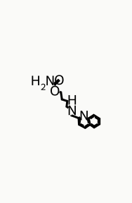 NC(=O)OCCCCNCc1ccc2ccccc2n1